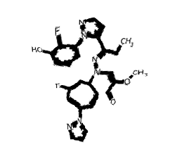 CC/C(=N\N(/C=C(\C=O)OC)C1C=CC(n2cccn2)=CC(F)=C1)c1ccnn1-c1cccc(O)c1F